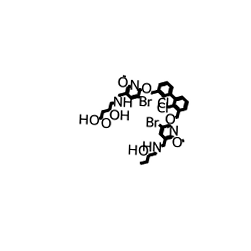 CCC(O)CNCc1cc(Br)c(OCc2cccc(-c3cccc(COc4nc(OC)c(CNCC(O)CC(=O)O)cc4Br)c3Cl)c2Cl)nc1OC